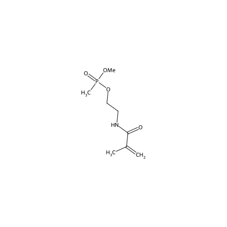 C=C(C)C(=O)NCCOP(C)(=O)OC